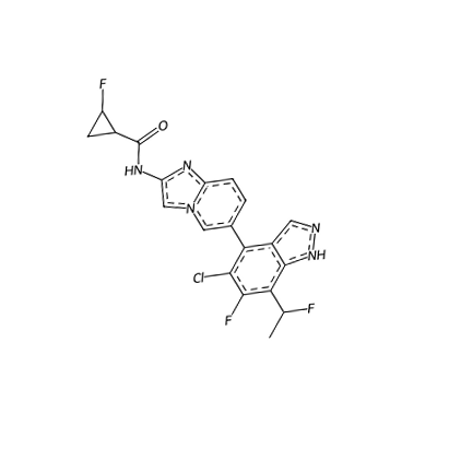 CC(F)c1c(F)c(Cl)c(-c2ccc3nc(NC(=O)C4CC4F)cn3c2)c2cn[nH]c12